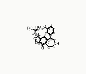 NC(=O)C(F)(F)F.O=S(=O)(O)c1cccc(C2CNCCc3c2cc2c(c3Cl)OOC2)c1